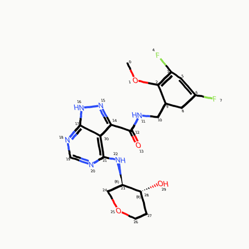 COC1=C(F)C=C(F)CC1CNC(=O)c1n[nH]c2ncnc(N[C@@H]3COCC[C@H]3O)c12